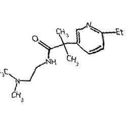 CCc1ccc(C(C)(C)C(=O)NCCN(C)C)cn1